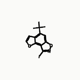 CC(C)(C)c1cc2onc(I)c2c2occc12